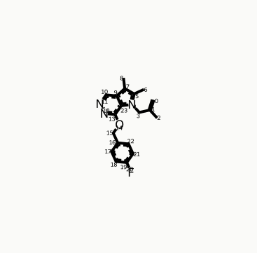 C=C(C)Cn1c(C)c(C)c2cnnc(OCc3ccc(F)cc3)c21